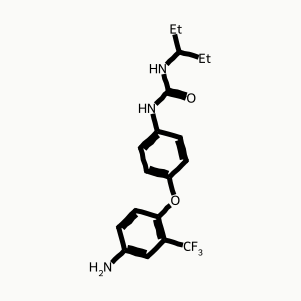 CCC(CC)NC(=O)Nc1ccc(Oc2ccc(N)cc2C(F)(F)F)cc1